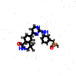 C[S+]([O-])Cc1cccc(Nc2nccc(-c3ccc4c(c3)C(C)(C)CNC4=O)n2)c1